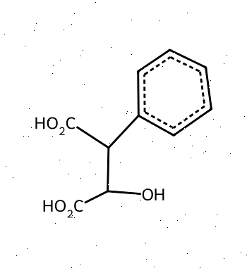 O=C(O)C(O)C(C(=O)O)c1ccccc1